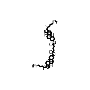 CC(C)CCC[C@@H](C)[C@H]1CC[C@H]2[C@@H]3CC=C4C[C@@H](OC(=O)CCCC(=O)O[C@@H]5CC[C@]6(C)C(=CC[C@@H]7[C@H]8CC[C@@H]([C@@H](C)CCCC(C)C)[C@]8(C)CC[C@H]76)C5)CC[C@]4(C)[C@H]3CC[C@]12C